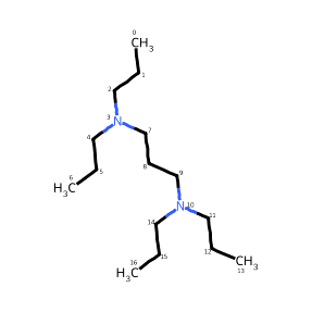 CCCN(CCC)CCCN(CCC)CCC